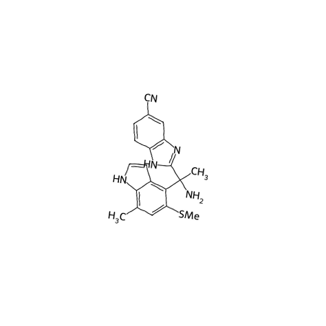 CSc1cc(C)c2[nH]ccc2c1C(C)(N)c1nc2cc(C#N)ccc2[nH]1